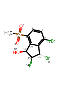 CS(=O)(=O)c1ccc(Br)c2c1[C@H](O)[C@H](F)[C@H]2Br